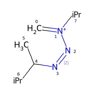 C=[N+](/N=N\C(C)C(C)C)C(C)C